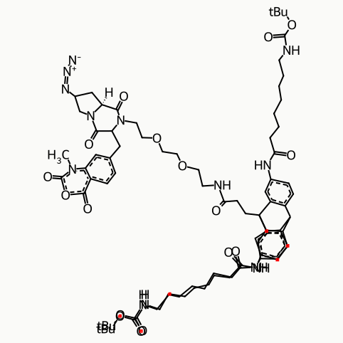 Cn1c(=O)oc(=O)c2ccc(CC3C(=O)N4CC(N=[N+]=[N-])C[C@H]4C(=O)N3CCOCCOCCNC(=O)CCC34c5cc(NC(=O)CCCCCCCNC(=O)OC(C)(C)C)ccc5C(c5ccc(NC(=O)CCCCCCCNC(=O)OC(C)(C)C)cc53)c3ccc(NC(=O)CCCCCCCNC(=O)OC(C)(C)C)cc34)cc21